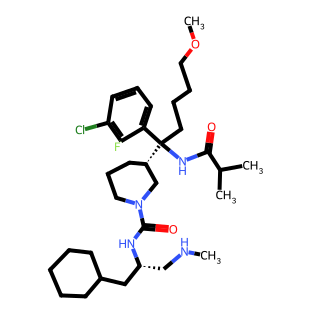 CNC[C@H](CC1CCCCC1)NC(=O)N1CCC[C@H](C(CCCCOC)(NC(=O)C(C)C)c2cccc(Cl)c2F)C1